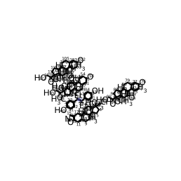 C#C[C@]1(O)CC[C@H]2[C@@H]3CCC4=Cc5oncc5C[C@]4(C)[C@H]3CC[C@@]21C.CC/C(=C(/CC)c1ccc(O)cc1)c1ccc(O)cc1.C[C@@H]1C[C@H]2[C@@H]3CCC4=CC(=O)C=C[C@]4(C)[C@@]3(F)[C@@H](O)C[C@]2(C)[C@@]1(O)C(=O)CO.C[C@]12C=CC(=O)C=C1CC[C@@H]1[C@@H]2C(=O)C[C@@]2(C)[C@H]1CC[C@]2(O)C(=O)CO.C[C@]12CCC(=O)C=C1CC[C@@H]1[C@@H]2C(=O)C[C@@]2(C)[C@H]1CC[C@]2(O)C(=O)CO